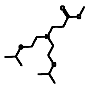 COC(=O)CCN(CCOC(C)C)CCOC(C)C